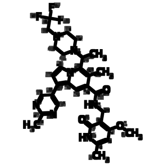 COc1cc(C)[nH]c(=O)c1CNC(=O)c1cc2c(-c3cnc(C)nc3)ccn2c(C(C)N2CCN(CC(F)(F)F)CC2)c1C